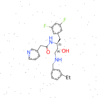 CCc1cccc(CNC[C@@H](O)[C@H](Cc2cc(F)cc(F)c2)NC(=O)Cc2cccnc2)c1